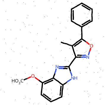 Cc1c(-c2nc3c(OC(=O)O)cccc3[nH]2)noc1-c1ccccc1